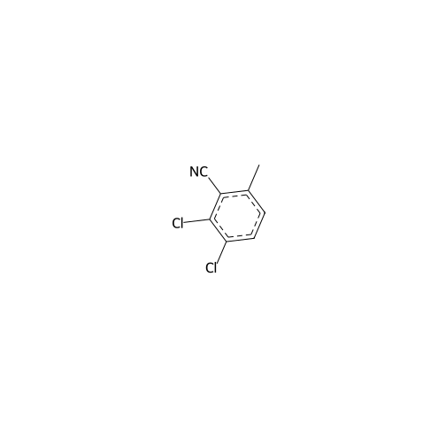 Cc1ccc(Cl)c(Cl)c1C#N